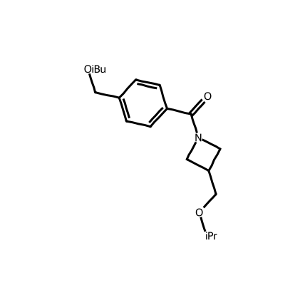 CC(C)COCc1ccc(C(=O)N2CC(COC(C)C)C2)cc1